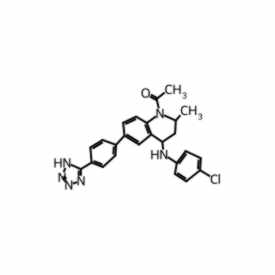 CC(=O)N1c2ccc(-c3ccc(-c4nnn[nH]4)cc3)cc2C(Nc2ccc(Cl)cc2)CC1C